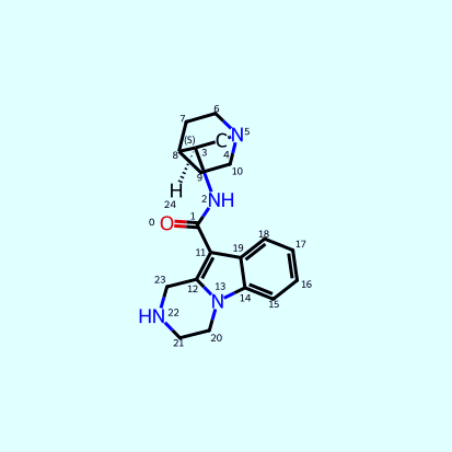 O=C(N[C@@H]1CN2CCC1CC2)c1c2n(c3ccccc13)CCNC2